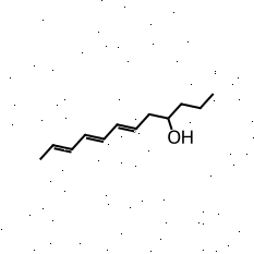 CC=CC=CC=CCC(O)CCC